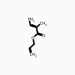 C=CCOC(=O)C(C)=CP